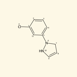 Clc1cccc(N2CC=CN2)c1